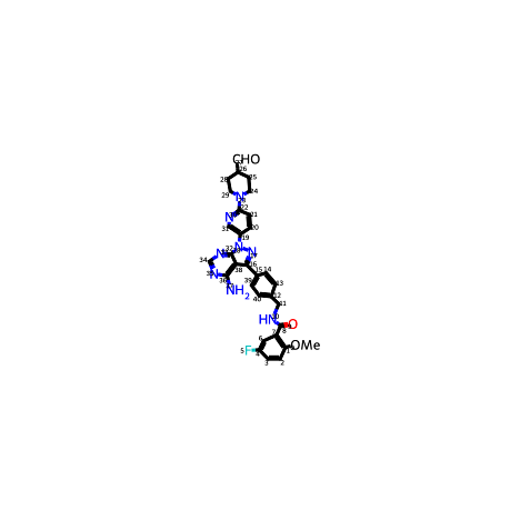 COc1ccc(F)cc1C(=O)NCc1ccc(-c2nn(-c3ccc(N4CCC(C=O)CC4)nc3)c3ncnc(N)c23)cc1